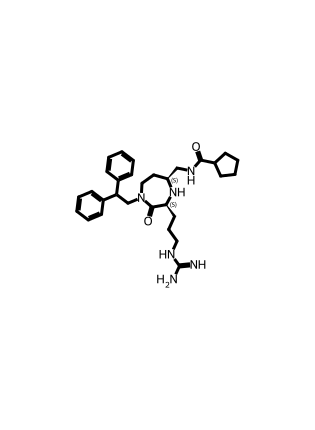 N=C(N)NCCC[C@@H]1N[C@H](CNC(=O)C2CCCC2)CCN(CC(c2ccccc2)c2ccccc2)C1=O